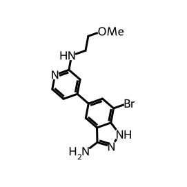 COCCNc1cc(-c2cc(Br)c3[nH]nc(N)c3c2)ccn1